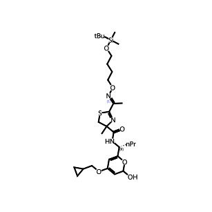 CCC[C@@H](NC(=O)C1(C)CSC(/C(C)=N/OCCCCO[Si](C)(C)C(C)(C)C)=N1)C1=CC(OCC2CC2)=CC(O)O1